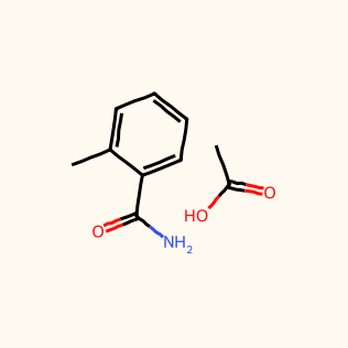 CC(=O)O.Cc1ccccc1C(N)=O